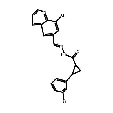 O=C(N/N=C/c1cc(Cl)c2ncccc2c1)C1CC1c1cccc(Cl)c1